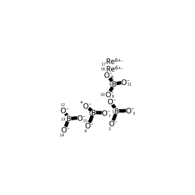 [O-]B([O-])[O-].[O-]B([O-])[O-].[O-]B([O-])[O-].[O-]B([O-])[O-].[Re+6].[Re+6]